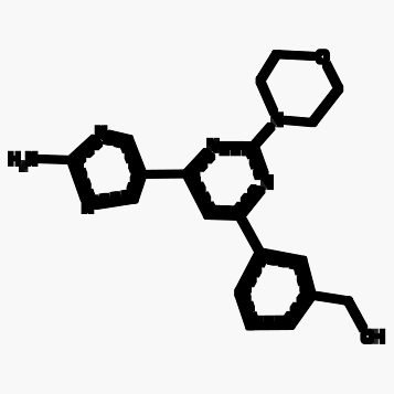 Nc1ncc(-c2cc(-c3cccc(CO)c3)nc(N3CCOCC3)n2)cn1